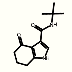 CC(C)(C)NC(=O)c1c[nH]c2c1C(=O)CCC2